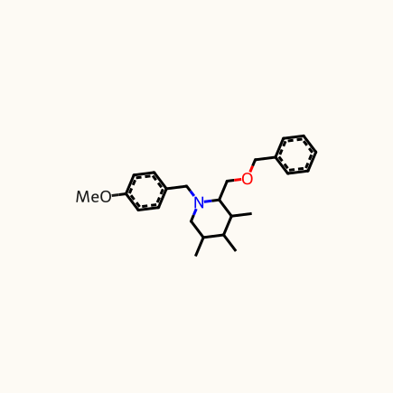 COc1ccc(CN2CC(C)C(C)C(C)C2COCc2ccccc2)cc1